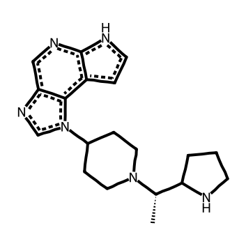 C[C@@H](C1CCCN1)N1CCC(n2cnc3cnc4[nH]ccc4c32)CC1